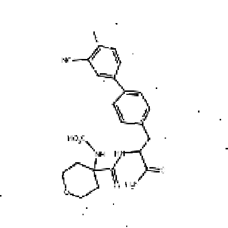 Cc1ccc(-c2ccc(CC(NC(=O)C3(NC(=O)O)CCOCC3)C(N)=O)cc2)cc1C#N